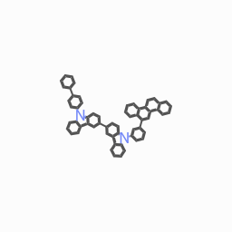 c1ccc(-c2ccc(-n3c4ccccc4c4cc(-c5ccc6c(c5)c5ccccc5n6-c5cccc(-c6cc7c8ccccc8ccc7c7ccccc67)c5)ccc43)cc2)cc1